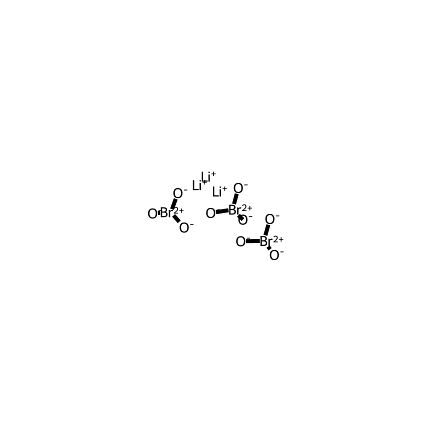 [Li+].[Li+].[Li+].[O-][Br+2]([O-])[O-].[O-][Br+2]([O-])[O-].[O-][Br+2]([O-])[O-]